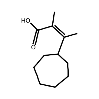 CC(C(=O)O)=C(C)C1CCCCCC1